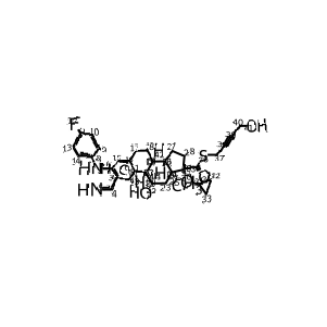 C[C@]12CC(C=N)=C(Nc3ccc(F)cc3)C=C1CC[C@@H]1[C@@H]2[C@@H](O)C[C@@]2(C)[C@H]1CC[C@]2(OC1CC1)C(=O)SCC#CCO